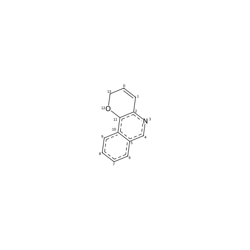 C1=Cc2ncc3ccccc3c2OC1